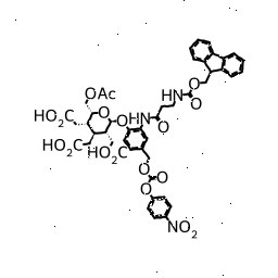 CC(=O)OC[C@@H]1O[C@@H](Oc2ccc(COC(=O)Oc3ccc([N+](=O)[O-])cc3)cc2NC(=O)CCNC(=O)OCC2c3ccccc3-c3ccccc32)[C@H](CC(=O)O)[C@@H](CC(=O)O)[C@@H]1CC(=O)O